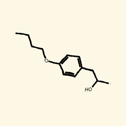 [CH2]C(O)Cc1ccc(OCCCC)cc1